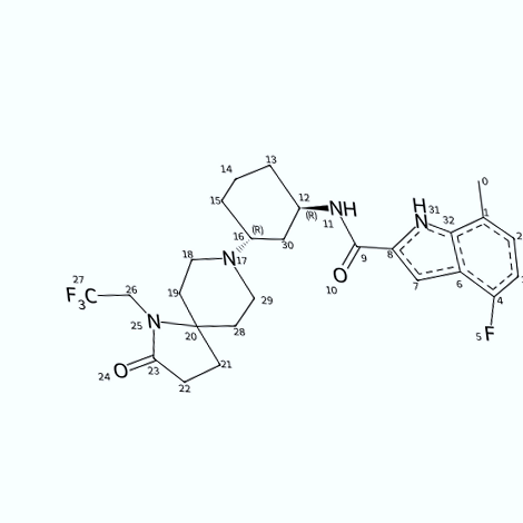 Cc1ccc(F)c2cc(C(=O)N[C@@H]3CCC[C@@H](N4CCC5(CCC(=O)N5CC(F)(F)F)CC4)C3)[nH]c12